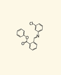 O=C(Oc1ccccc1)c1ccccc1C=Nc1cccc(Cl)c1